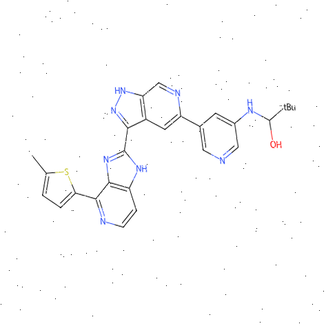 Cc1ccc(-c2nccc3[nH]c(-c4n[nH]c5cnc(-c6cncc(NC(O)C(C)(C)C)c6)cc45)nc23)s1